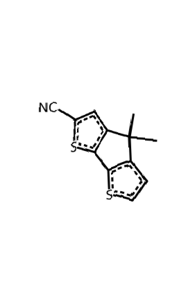 CC1(C)c2ccsc2-c2sc(C#N)cc21